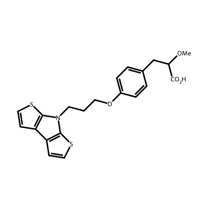 COC(Cc1ccc(OCCCn2c3sccc3c3ccsc32)cc1)C(=O)O